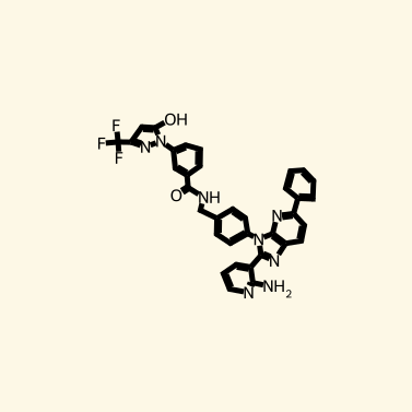 Nc1ncccc1-c1nc2ccc(-c3ccccc3)nc2n1-c1ccc(CNC(=O)c2cccc(-n3nc(C(F)(F)F)cc3O)c2)cc1